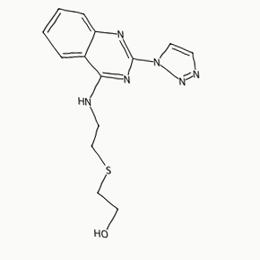 OCCSCCNc1nc(-n2ccnn2)nc2ccccc12